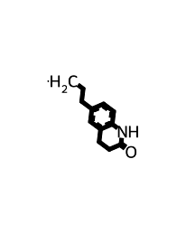 [CH2]CCc1ccc2c(c1)CCC(=O)N2